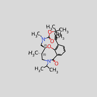 C#Cc1cccc2c1O[C@H](CN(C)C(=O)OC(C)(C)C)[C@@H](C)CN(C(C)C)C2=O